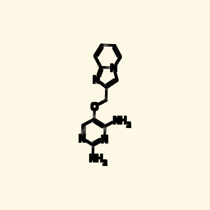 Nc1ncc(OCc2cn3ccccc3n2)c(N)n1